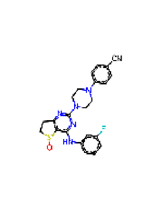 N#Cc1ccc(N2CCN(c3nc4c(c(Nc5cccc(F)c5)n3)[S+]([O-])CC4)CC2)cc1